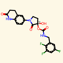 O=C1CCc2cc(N3CC[C@](O)(OC(=O)NCc4cc(F)cc(F)c4F)C3=O)ccc2N1